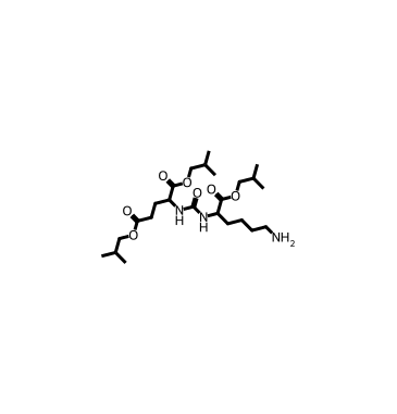 CC(C)COC(=O)CCC(NC(=O)NC(CCCCN)C(=O)OCC(C)C)C(=O)OCC(C)C